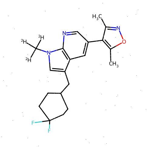 [2H]C([2H])([2H])n1cc(CC2CCC(F)(F)CC2)c2cc(-c3c(C)noc3C)cnc21